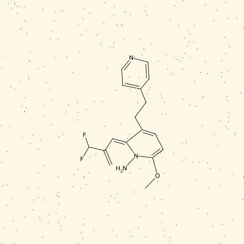 C=C(/C=C1/C(CCc2ccncc2)=CC=C(OC)N1N)C(F)F